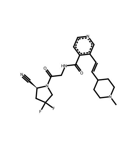 CN1CCC(/C=C/c2cnccc2C(=O)NCC(=O)N2CC(F)(F)C[C@H]2C#N)CC1